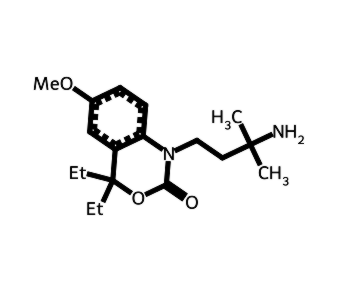 CCC1(CC)OC(=O)N(CCC(C)(C)N)c2ccc(OC)cc21